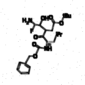 CC(C)C[C@H](NC(=O)OCc1ccccc1)C(=O)C(CC(=O)OC(C)(C)C)C(O)C(N)F